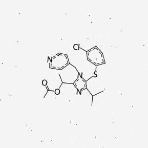 CC(=O)OC(C)c1nc(C(C)C)c(Sc2cccc(Cl)c2)n1Cc1ccncc1